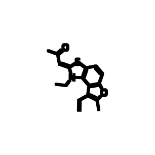 C=Cc1c(C)oc2ccc3c(c12)N(CC)/C(=C/C(C)=O)S3